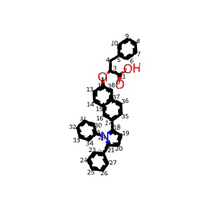 O=C(O)C(Cc1ccccc1)Oc1ccc2cc(-c3ccc(-c4ccccc4)n3-c3ccccc3)ccc2c1